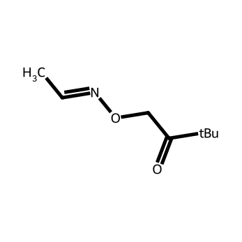 CC=NOCC(=O)C(C)(C)C